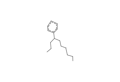 CCC[CH]CCC(CCC)c1ccccc1